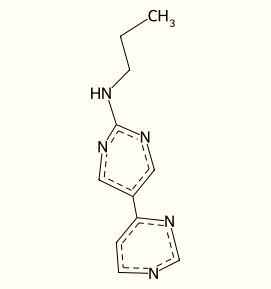 CCCNc1ncc(-c2ccncn2)cn1